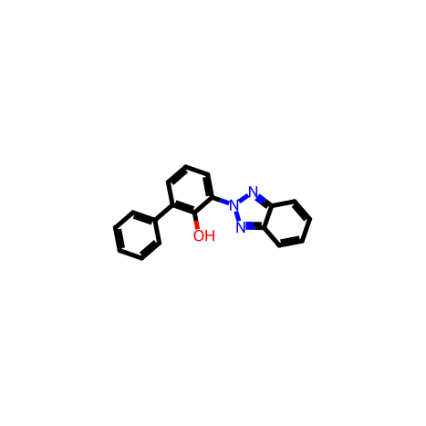 Oc1c(-c2ccccc2)cccc1-n1nc2ccccc2n1